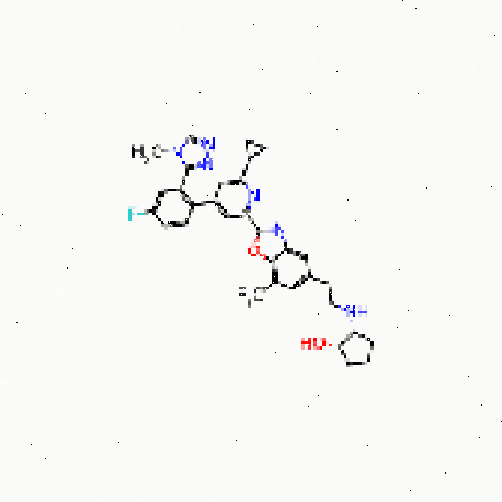 Cn1cnnc1-c1cc(F)ccc1-c1cc(-c2nc3cc(CCN[C@@H]4CCC[C@@H]4O)cc(C(F)(F)F)c3o2)nc(C2CC2)c1